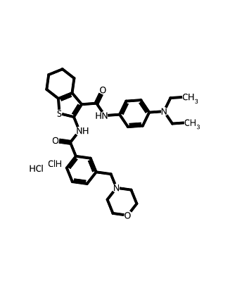 CCN(CC)c1ccc(NC(=O)c2c(NC(=O)c3cccc(CN4CCOCC4)c3)sc3c2CCCC3)cc1.Cl.Cl